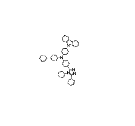 c1ccc(-c2ccc(N(c3ccc(-c4nnc(-c5ccccc5)n4-c4ccccc4)cc3)c3ccc(-n4c5ccccc5c5ccccc54)cc3)cc2)cc1